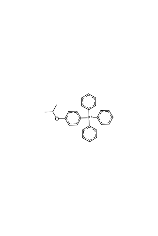 CC(C)Oc1ccc([P+](c2ccccc2)(c2ccccc2)c2ccccc2)cc1